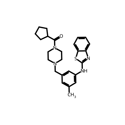 Cc1cc(CN2CCN(C(=O)C3CCCC3)CC2)cc(Nc2nc3ccccc3s2)c1